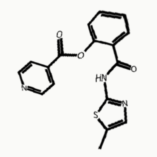 Cc1cnc(NC(=O)c2ccccc2OC(=O)c2ccncc2)s1